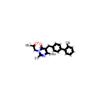 CCCCc1nc(CC)n(CC(=O)C(C)(C)C)c(=O)c1Cc1ccc(-c2ccccc2C#N)cc1